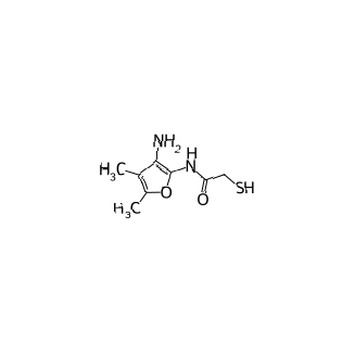 Cc1oc(NC(=O)CS)c(N)c1C